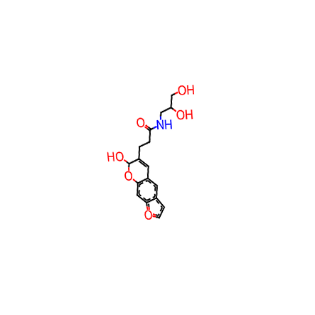 O=C(CCC1=Cc2cc3ccoc3cc2OC1O)NCC(O)CO